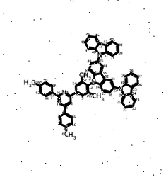 Cc1ccc(-c2cc(-c3cc(C)c(-n4c5ccc(-n6c7ccccc7c7ccccc76)cc5c5cc(-n6c7ccccc7c7ccccc76)ccc54)c(C)c3)nc(-c3ccc(C)cc3)n2)cc1